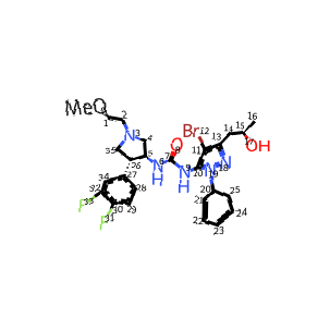 COCCN1C[C@@H](NC(=O)Nc2c(Br)c(C[C@@H](C)O)nn2C2C=CC=CC2)[C@H](c2ccc(F)c(F)c2)C1